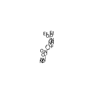 CCOC(OCC)c1cn(-c2ccc(N3CC(Cn4ccnn4)OC3=O)cc2F)nn1